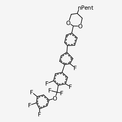 CCCCCC1COC(c2ccc(-c3ccc(-c4cc(F)c(C(F)(F)Oc5cc(F)c(F)c(F)c5)c(F)c4)c(F)c3)cc2)OC1